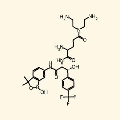 CC1(C)OB(O)c2cc(NC(=O)[C@@H](NC(=O)[C@@H](N)CCC(=O)N(CCN)CCN)[C@H](O)c3ccc(C(F)(F)F)cc3)ccc21